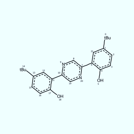 CC(C)(C)c1ccc(O)c(-c2cnc(-c3cc(C(C)(C)C)ccc3O)cn2)c1